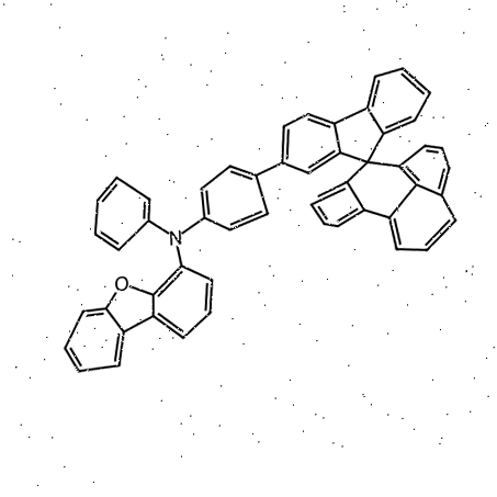 c1ccc(N(c2ccc(-c3ccc4c(c3)C3(c5ccccc5-4)c4ccccc4-c4cccc5cccc3c45)cc2)c2cccc3c2oc2ccccc23)cc1